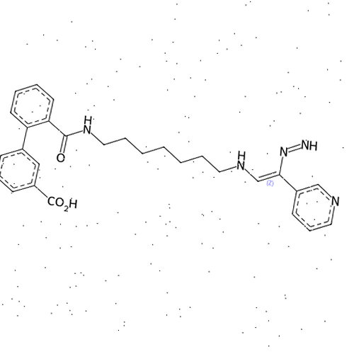 N=N/C(=C\NCCCCCCCNC(=O)c1ccccc1-c1cccc(C(=O)O)c1)c1cccnc1